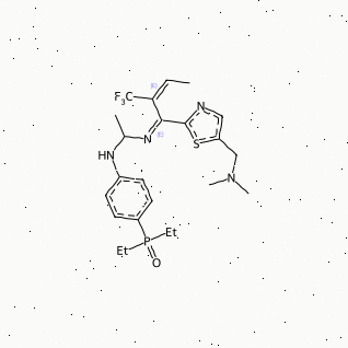 C/C=C(\C(=N/C(C)Nc1ccc(P(=O)(CC)CC)cc1)c1ncc(CN(C)C)s1)C(F)(F)F